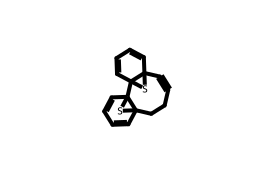 C1#CC23C=CC=CC2(S3)C23C=CC=CC2(CC1)S3